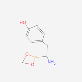 NC(Cc1ccc(O)cc1)P1OCO1